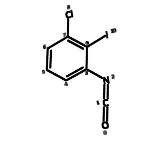 O=C=Nc1cccc(Cl)c1I